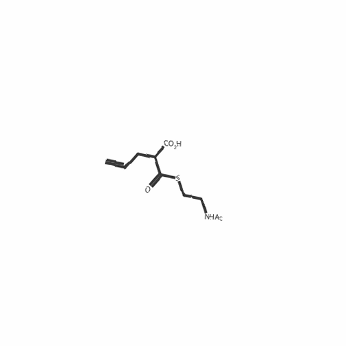 C=CCC(C(=O)O)C(=O)SCCNC(C)=O